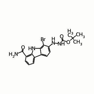 CC(C)(C)OC(=O)NNc1ccc2c([nH]c3c(C(N)=O)cccc32)c1Br